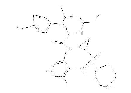 COC(=O)N[C@H](C(=O)Nc1cncc(F)c1CC[C@H]1CNC[C@@H](C)N1S(=O)(=O)C1CC1)[C@@H](c1ccc(Cl)cc1)C(C)C